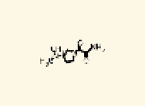 CN(C)[C@@H]1CCN(C(=O)C(N)=O)C1